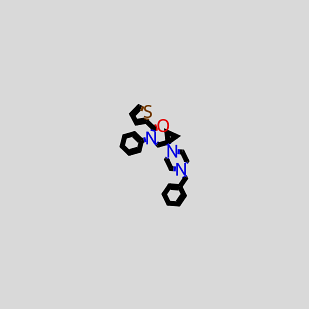 O=C(c1cccs1)N(CC1(N2CCN(CC3=CCCC=C3)CC2)CC1)C1=CCCC=C1